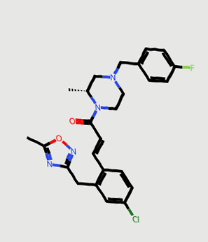 Cc1nc(Cc2cc(Cl)ccc2/C=C/C(=O)N2CCN(Cc3ccc(F)cc3)C[C@H]2C)no1